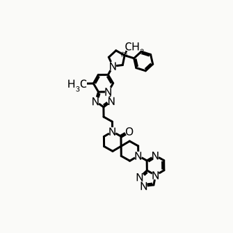 Cc1cc(N2CC[C@](C)(c3ccccc3)C2)cn2nc(CCN3CCCC4(CCN(c5nccn6cnnc56)CC4)C3=O)nc12